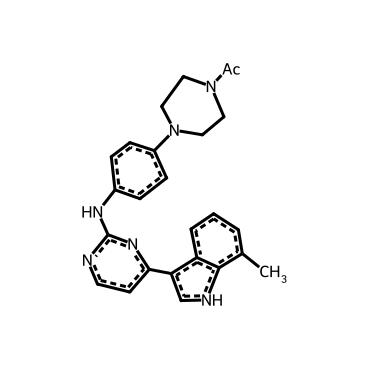 CC(=O)N1CCN(c2ccc(Nc3nccc(-c4c[nH]c5c(C)cccc45)n3)cc2)CC1